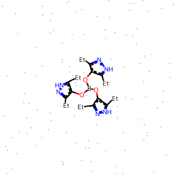 CCc1n[nH]c(CC)c1OB(Oc1c(CC)n[nH]c1CC)Oc1c(CC)n[nH]c1CC